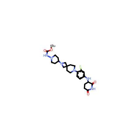 CC(C)(C)OC(=O)NN1CCC(N2CC3(CCN(c4ccc(NC5CCC(=O)NC5=O)cc4F)CC3)C2)CC1